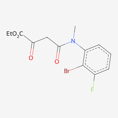 CCOC(=O)C(=O)CC(=O)N(C)c1cccc(F)c1Br